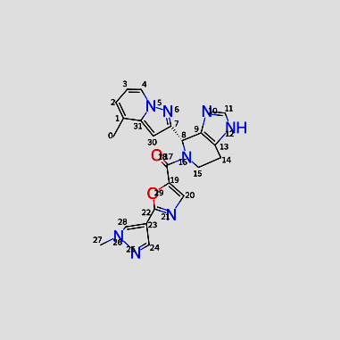 Cc1cccn2nc([C@@H]3c4nc[nH]c4CCN3C(=O)c3cnc(-c4cnn(C)c4)o3)cc12